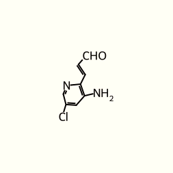 Nc1cc(Cl)cnc1/C=C/C=O